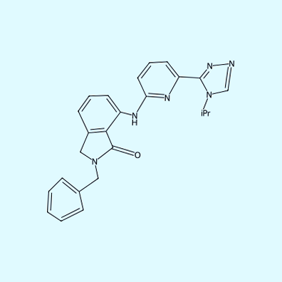 CC(C)n1cnnc1-c1cccc(Nc2cccc3c2C(=O)N(Cc2ccccc2)C3)n1